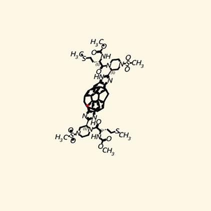 COC(=O)N[C@@H](CCSC)C(=O)N1CCN(S(C)(=O)=O)C[C@H]1c1nc2cc(-c3cc4ccc3CCc3ccc(c(-c5ccc6[nH]c([C@@H]7CN(S(C)(=O)=O)CCN7C(=O)[C@H](CCSC)NC(=O)OC)nc6c5)c3)CC4)ccc2[nH]1